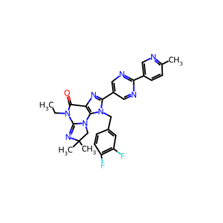 CCN1C(=O)c2nc(-c3cnc(-c4ccc(C)nc4)nc3)n(Cc3ccc(F)c(F)c3)c2N2CC(C)(C)N=C12